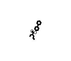 C=CCC(CC)C(=O)Oc1ccc(-c2ccccc2)cc1